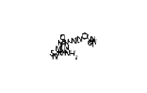 Cc1nnc(-c2cccc(N3CCN(CCn4c(=O)n(C)c5c4nc(N)n4nc(-c6nccs6)nc54)CC3)c2)o1